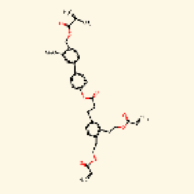 C=CC(=O)OCCc1ccc(CCC(=O)Oc2ccc(-c3ccc(COC(=O)C(=C)C)c(OC)c3)cc2)cc1CCOC(=O)C=C